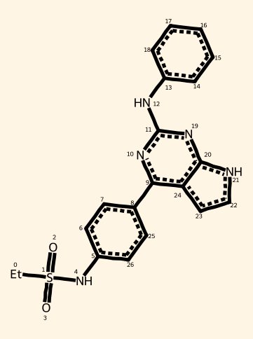 CCS(=O)(=O)Nc1ccc(-c2nc(Nc3ccccc3)nc3[nH]ccc23)cc1